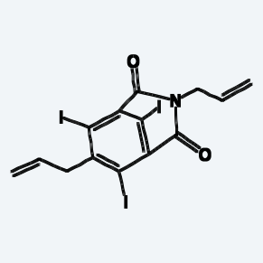 C=CCc1c(I)c2c(I)c(c1I)C(=O)N(CC=C)C2=O